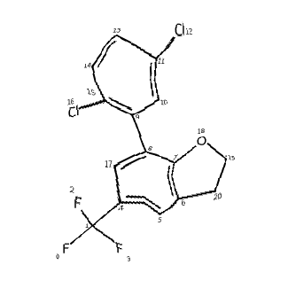 FC(F)(F)c1cc2c(c(-c3cc(Cl)ccc3Cl)c1)O[CH]C2